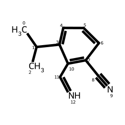 CC(C)c1cccc(C#N)c1C=N